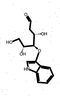 O=CC[C@H](O)[C@@H](Oc1c[nH]c2ccccc12)[C@H](O)CO